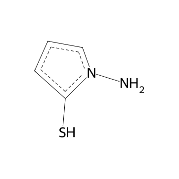 Nn1cccc1S